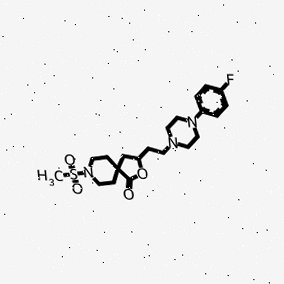 CS(=O)(=O)N1CCC2(CC1)CC(CCN1CCN(c3ccc(F)cc3)CC1)OC2=O